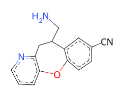 N#Cc1ccc2c(c1)C(CN)Cc1ncccc1O2